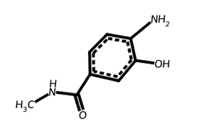 CNC(=O)c1ccc(N)c(O)c1